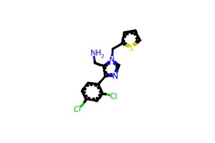 NCc1c(-c2ccc(Cl)cc2Cl)ncn1Cc1cccs1